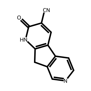 N#Cc1cc2c([nH]c1=O)Cc1cnccc1-2